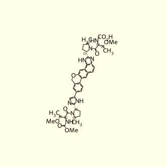 COC(=O)N[C@H](C(=O)N1[C@@H](C)CC[C@H]1c1ncc(-c2ccc3c(c2)COc2cc4c(ccc5nc([C@@H]6CC[C@H](C)N6C(=O)[C@@H](NC(=O)O)[C@@H](C)OC)[nH]c54)cc2-3)[nH]1)[C@@H](C)OC